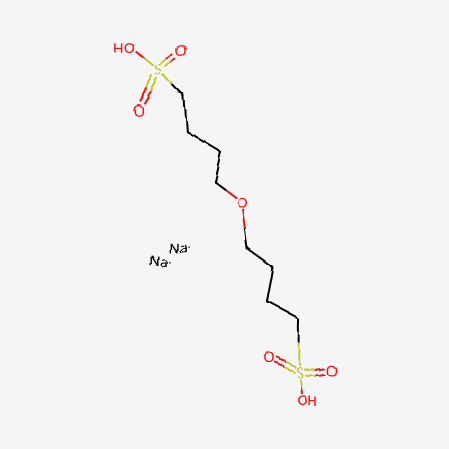 O=S(=O)(O)CCCCOCCCCS(=O)(=O)O.[Na].[Na]